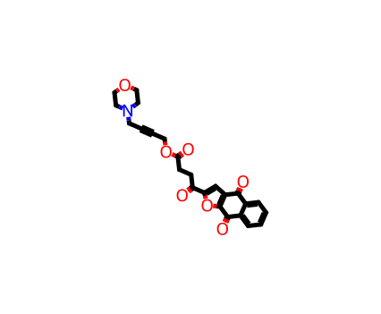 O=C(CCC(=O)c1cc2c(o1)C(=O)c1ccccc1C2=O)OCC#CCN1CCOCC1